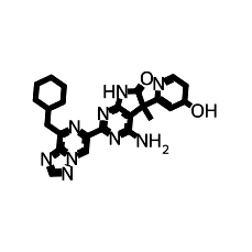 CC1(C2=CC(O)CC=N2)C(=O)Nc2nc(-c3cn4ncnc4c(CC4CCCCC4)n3)nc(N)c21